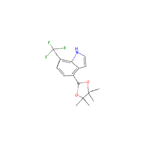 CC1(C)OB(c2ccc(C(F)(F)F)c3[nH]ccc23)OC1(C)C